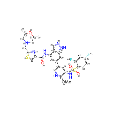 COc1ncc(-c2cc(NC(=O)c3csc(CN4C[C@@H](C)O[C@@H](C)C4)n3)c3cn[nH]c3c2)cc1NS(=O)(=O)C1CC=C(F)C=C1F